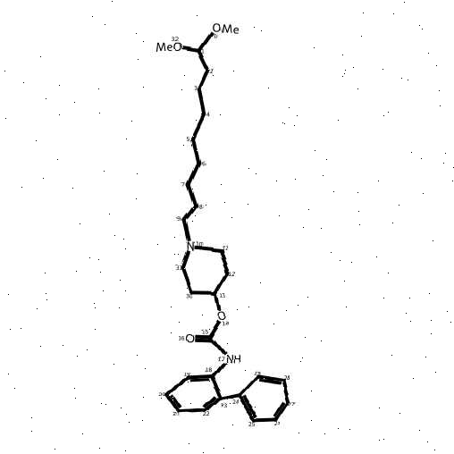 COC(CCCCCCCCN1CCC(OC(=O)Nc2ccccc2-c2ccccc2)CC1)OC